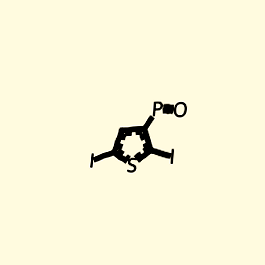 O=Pc1cc(I)sc1I